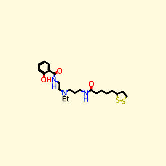 CCN(CCCNC(=O)CCCCC1CCSS1)CCNC(=O)c1ccccc1O